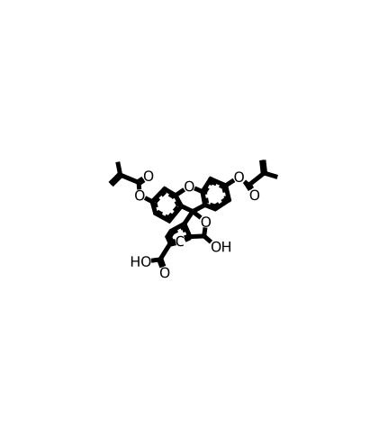 C=C(C)C(=O)Oc1ccc2c(c1)Oc1cc(OC(=O)C(=C)C)ccc1C21OC(O)c2cc(C(=O)O)ccc21